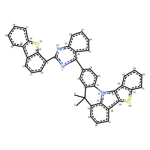 CC1(C)c2cc(-c3nc(-c4cccc5c4sc4ccccc45)nc4ccccc34)ccc2-n2c3c1cccc3c1sc3ccccc3c12